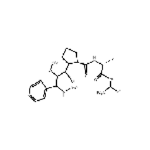 CC(C)C(NC(=O)[C@H](NC(=O)[C@@H]1CCCC1C(O)C(OC(C)(C)C)C(NC=O)c1ccccc1)C(C)C)C(=O)O